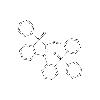 CCCC(C)C(CC)P(=O)(c1ccccc1)c1ccccc1Oc1ccccc1P(=O)(c1ccccc1)c1ccccc1